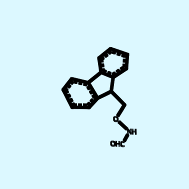 O=CNOCC1c2ccccc2-c2ccccc21